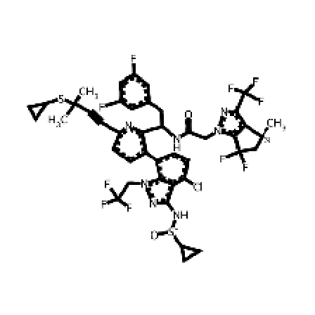 C[C@H]1CC(F)(F)c2c1c(C(F)(F)F)nn2CC(=O)NC(Cc1cc(F)cc(F)c1)c1nc(C#CC(C)(C)SC2CC2)ccc1-c1ccc(Cl)c2c(N[S+]([O-])C3CC3)nn(CC(F)(F)F)c12